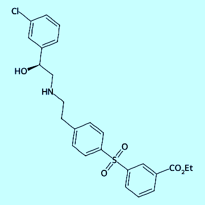 CCOC(=O)c1cccc(S(=O)(=O)c2ccc(CCNC[C@@H](O)c3cccc(Cl)c3)cc2)c1